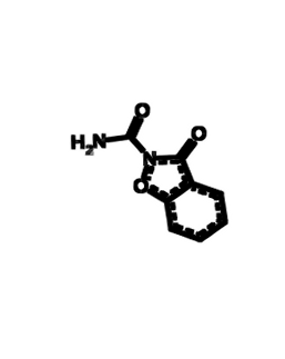 NC(=O)n1oc2ccccc2c1=O